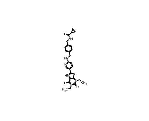 CCn1c(=O)c2[nH]c(-c3ccc(NCc4ccc(CNC(=O)C5CC5)cc4)nc3)nc2n(CC)c1=O